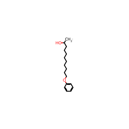 [CH2]C(O)CCCCCCCCCOc1ccccc1